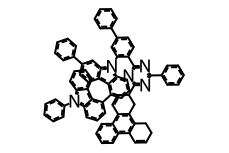 C1=Cc2c(c3c(c4ccccc24)C=CC(c2nc(-c4ccccc4)nc(-c4ccc(-c5ccccc5)cc4-n4c5cc(-c6ccccc6)ccc5c5c(-c6cccc7c6c6ccccc6n7-c6ccccc6)cccc54)n2)C3)CC1